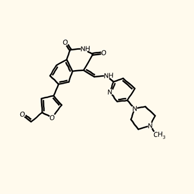 CN1CCN(c2ccc(NC=C3C(=O)NC(=O)c4ccc(-c5coc(C=O)c5)cc43)nc2)CC1